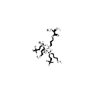 C=C(C)C(=O)OCCC[Si](C)(O[Si](C)(CCCC)CCC(F)(F)F)O[Si](C)(CCCC)CCC(F)(F)F